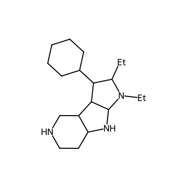 CCC1C(C2CCCCC2)C2C3CNCCC3NC2N1CC